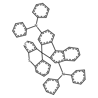 c1ccc(N(c2ccccc2)c2ccc3c(c2)C2(c4ccccc4Sc4ccccc42)c2cc(N(c4ccccc4)c4ccccc4)c4ccccc4c2-3)cc1